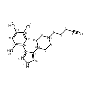 N#CCCCN1CCN(c2c[nH]nc2-c2cc(Cl)c(O)cc2O)CC1